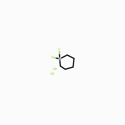 F.F.F[Si]1(F)CCCCC1